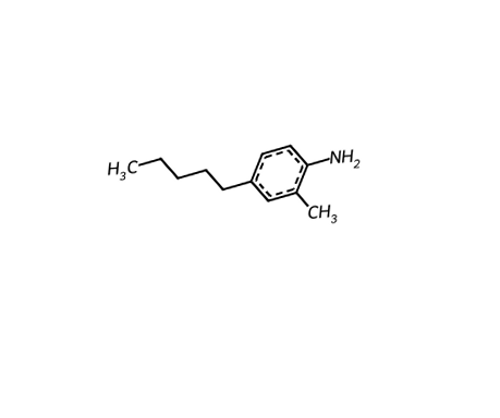 CCCCCc1ccc(N)c(C)c1